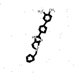 Cc1ccc(-c2ccc(-c3nc4c([nH]3)C=CN(Cc3ccccc3)C4)cc2)cc1C